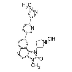 Cl.Cn1cc(-c2ccc(-c3ccc4ncc5c(c4c3)n(C3CCNC3)c(=O)n5C)cn2)cn1